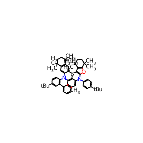 Cc1cc2c3c(c1)N(c1ccc(C(C)(C)C)cc1)c1oc4c(c1B3c1cc3c(cc1N2c1ccc(C(C)(C)C)cc1-c1ccccc1)C(C)(C)CCC3(C)C)C(C)(C)CCC4(C)C